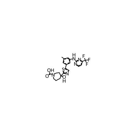 Cc1cc(Nc2nccc(C(F)(F)F)n2)cc(-c2cnc([C@]3(O)CCCN(C(=O)O)CC3)s2)c1